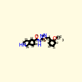 O=C(Nc1nnc(Cc2ccccc2OC(F)(F)F)s1)c1ccc2c(c1)CCNC2